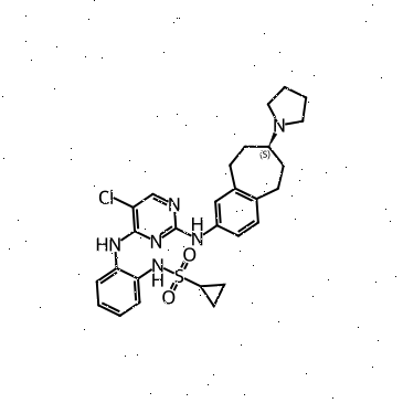 O=S(=O)(Nc1ccccc1Nc1nc(Nc2ccc3c(c2)CC[C@@H](N2CCCC2)CC3)ncc1Cl)C1CC1